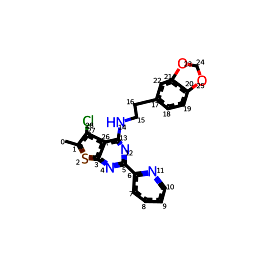 Cc1sc2nc(-c3ccccn3)nc(NCCc3ccc4c(c3)OCO4)c2c1Cl